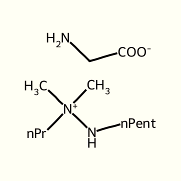 CCCCCN[N+](C)(C)CCC.NCC(=O)[O-]